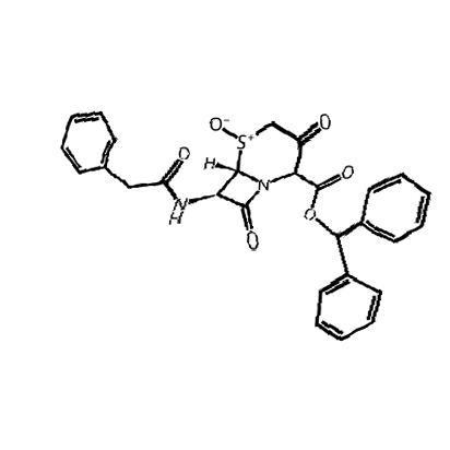 O=C(Cc1ccccc1)N[C@@H]1C(=O)N2C(C(=O)OC(c3ccccc3)c3ccccc3)C(=O)C[S+]([O-])[C@@H]12